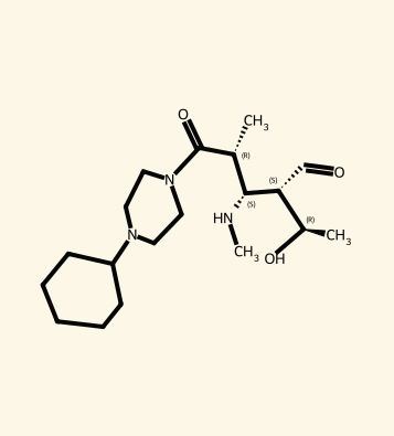 CN[C@@H]([C@H](C=O)[C@@H](C)O)[C@@H](C)C(=O)N1CCN(C2CCCCC2)CC1